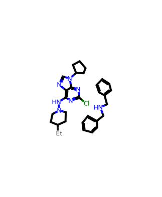 CCC1CCN(Nc2nc(Cl)nc3c2ncn3C2CCCC2)CC1.c1ccc(CNCc2ccccc2)cc1